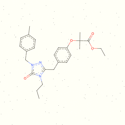 CCCn1c(Cc2ccc(OC(C)(C)C(=O)OCC)cc2)nn(Cc2ccc(C)cc2)c1=O